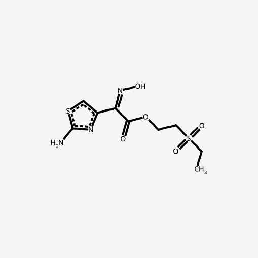 CCS(=O)(=O)CCOC(=O)/C(=N\O)c1csc(N)n1